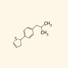 CC(C)Cc1ccc(C2CC=CS2)cc1